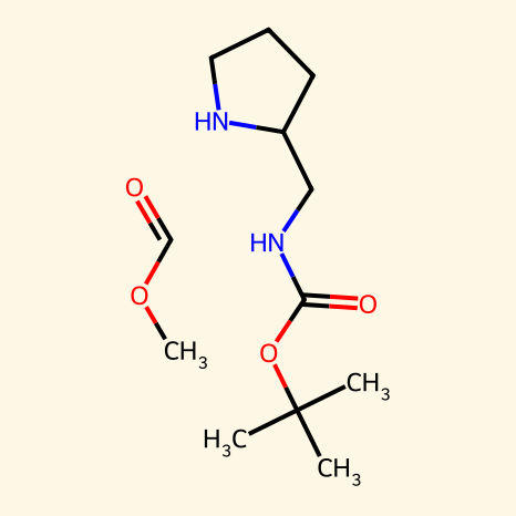 CC(C)(C)OC(=O)NCC1CCCN1.COC=O